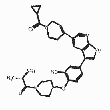 C[C@H](O)C(=O)N1CCC(Oc2ccc(-c3c[nH]c4ncc(C5=CCN(C(=O)C6CC6)CC5)cc34)cc2C#N)CC1